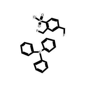 O=S(=O)([O-])c1ccc(CF)cc1CF.c1ccc([S+](c2ccccc2)c2ccccc2)cc1